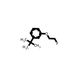 CC(C)(C)c1cccc(OCCF)c1